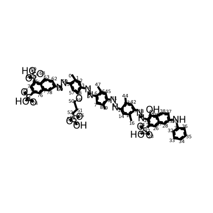 Cc1cc(N=Nc2cc(C)c(N=Nc3cc(C)c(N=Nc4c(S(=O)(=O)O)cc5cc(Nc6ccccc6)ccc5c4O)cc3C)cc2C)c(OCCCS(=O)(=O)O)cc1N=Nc1ccc2c(S(=O)(=O)O)cc(S(=O)(=O)O)cc2c1